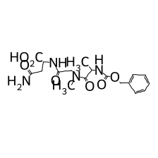 CC(NC(=O)OCc1ccccc1)C(=O)N(C)CC(=O)NC(CC(N)=O)C(=O)O